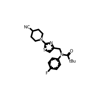 CC(C)(C)C(=O)N(Cc1csc(N2CCC(C#N)CC2)n1)c1ccc(F)cc1